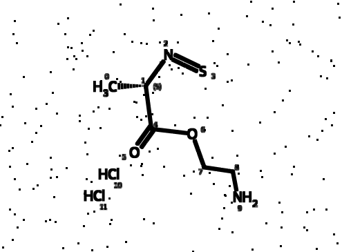 C[C@H](N=S)C(=O)OCCN.Cl.Cl